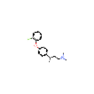 CC(CCN(C)C)c1ccc(Oc2ccccc2F)cc1